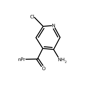 CCCC(=O)c1cc(Cl)ncc1N